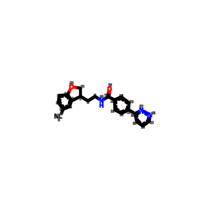 N#Cc1ccc2c(c1)C(CCNC(=O)c1ccc(-c3cccnn3)cc1)CO2